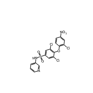 O=[N+]([O-])c1ccc(Oc2c(Cl)cc(S(=O)(=O)Nc3cccnc3)cc2Cl)c(Cl)c1